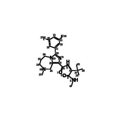 CNC(=O)[C@@H](NC(=O)c1nc(-c2cc(F)cc(F)c2)n2c1CN(C)CCC2)C(C)(C)C